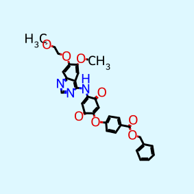 COCCOc1cc2ncnc(NC3=CC(=O)C(Oc4ccc(C(=O)OCc5ccccc5)cc4)=CC3=O)c2cc1OC